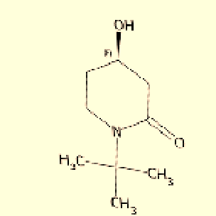 CC(C)(C)N1CC[C@@H](O)CC1=O